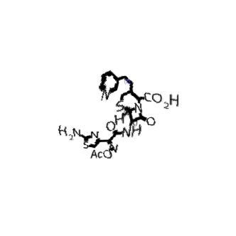 CC(=O)ON=C(C(=O)N[C@@H]1C(=O)N2C(C(=O)O)=C(/C=C\c3cccnc3)CS[C@@H]12)c1csc(N)n1